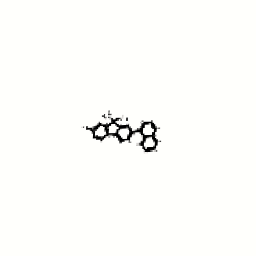 CC1(C)c2cc(I)ccc2-c2ccc(-c3cccc4ccccc34)cc21